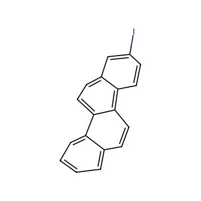 Ic1ccc2c(ccc3c4ccccc4ccc23)c1